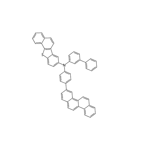 c1ccc(-c2cccc(N(c3ccc(-c4ccc5ccc6c7ccccc7ccc6c5c4)cc3)c3ccc4sc5c6ccccc6ccc5c4c3)c2)cc1